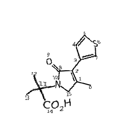 CC1=C(c2ccsc2)C(=O)N(C(C)(C)C(=O)O)C1